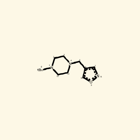 CC(C)(C)N1CCN(Cc2cnoc2)CC1